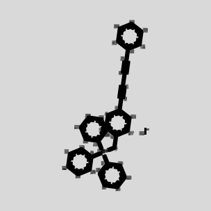 C(C#Cc1ccc(C[P+](c2ccccc2)(c2ccccc2)c2ccccc2)cc1)#Cc1ccccc1.[I-]